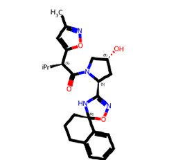 Cc1cc([C@@H](C(=O)N2C[C@H](O)C[C@H]2C2=NO[C@@]3(CCCc4ccccc43)N2)C(C)C)on1